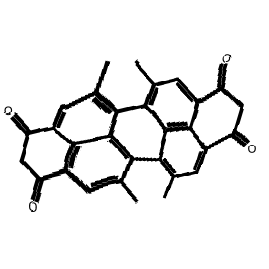 Cc1cc2c3c(cc(C)c4c5c(C)cc6c7c(cc(C)c(c1c34)c75)C(=O)CC6=O)C(=O)CC2=O